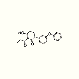 CCC(=O)C1=C(O)CCC(c2cccc(Oc3ccccc3)c2)C1=O